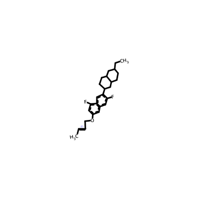 C/C=C/COc1cc(F)c2cc(C3CCC4CC(CC)CCC4C3)c(F)cc2c1